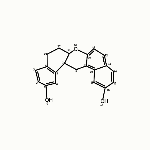 Oc1ccc2c(c1)C1Cc3c(ccc4ccc(O)cc34)OC1CC2